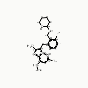 Cc1nc2c(NC(C)(C)C)cc(Cl)nn2c1Cc1cccc(F)c1COC1CCCCO1